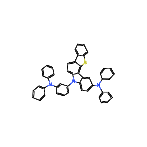 c1ccc(N(c2ccccc2)c2cccc(-n3c4ccc(N(c5ccccc5)c5ccccc5)cc4c4c5sc6ccccc6c5ccc43)c2)cc1